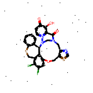 O=C1c2c(O)c(=O)ccn2N2CN1Cc1ncsc1COc1cc(F)c(F)c3c1C2c1ccccc1SC3